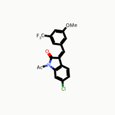 COc1cc(C=C2C(=O)N(C(C)=O)c3cc(Cl)ccc32)cc(C(F)(F)F)c1